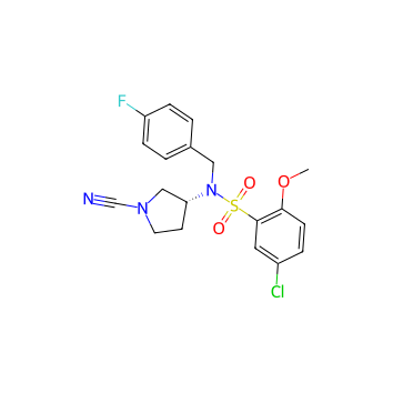 COc1ccc(Cl)cc1S(=O)(=O)N(Cc1ccc(F)cc1)[C@@H]1CCN(C#N)C1